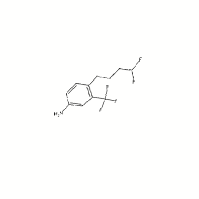 Nc1ccc(CCCC(F)F)c(C(F)(F)F)c1